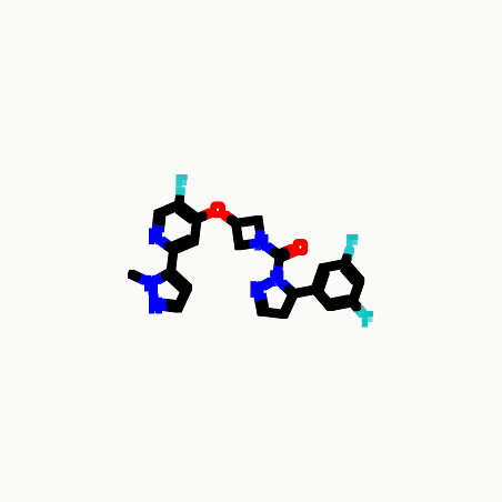 Cn1nccc1-c1cc(OC2CN(C(=O)N3N=CCC3c3cc(F)cc(F)c3)C2)c(F)cn1